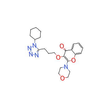 O=c1c(OCCCc2nnnn2C2CCCCC2)c(N2CCOCC2)oc2ccccc12